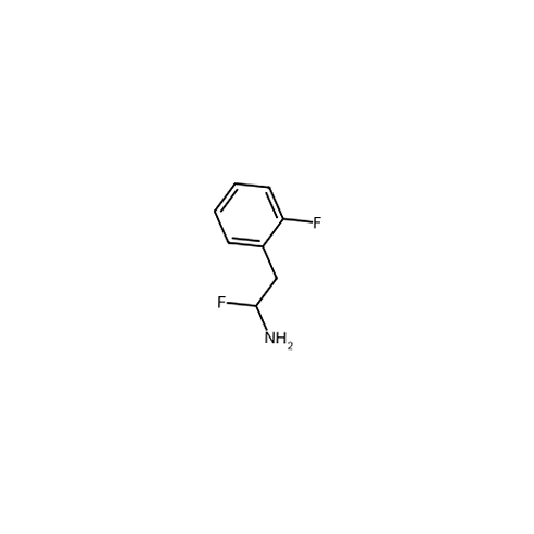 NC(F)Cc1ccccc1F